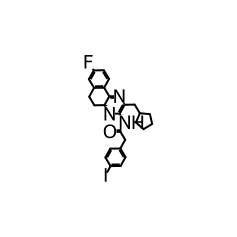 O=C(Cc1ccc(I)cc1)Nc1nc2c(nc1CC1CCCC1)-c1ccc(F)cc1CC2